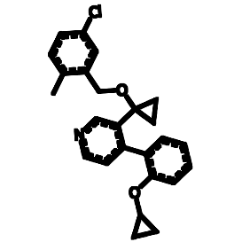 Cc1ccc(Cl)cc1COC1(c2cnccc2-c2ccccc2OC2CC2)CC1